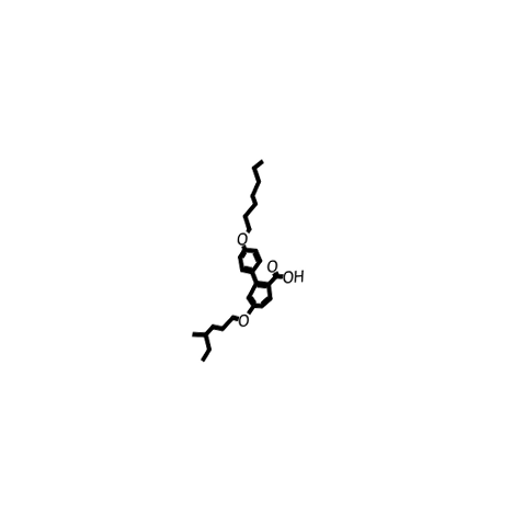 CCCCCCCOc1ccc(-c2cc(OCCCC(C)CC)ccc2C(=O)O)cc1